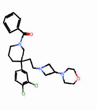 O=C(c1ccccc1)N1CCCC(CCN2CC(N3CCOCC3)C2)(c2ccc(Cl)c(Cl)c2)C1